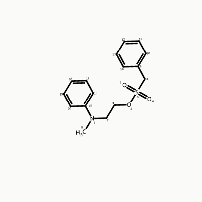 CN(CCOS(=O)(=O)Cc1ccccc1)c1ccccc1